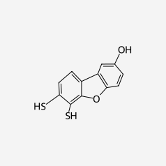 Oc1ccc2oc3c(S)c(S)ccc3c2c1